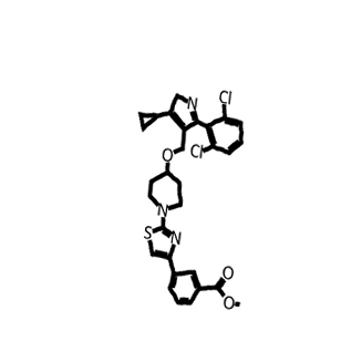 COC(=O)c1cccc(-c2csc(N3CCC(OCC4=C(C5CC5)CN=C4c4c(Cl)cccc4Cl)CC3)n2)c1